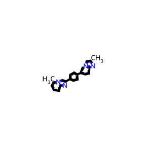 Cc1cn2cc(-c3ccc(-c4cn5c(C)cccc5n4)cc3)ccc2n1